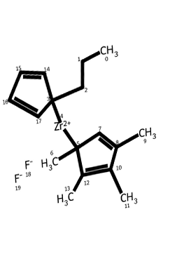 CCC[C]1([Zr+2][C]2(C)C=C(C)C(C)=C2C)C=CC=C1.[F-].[F-]